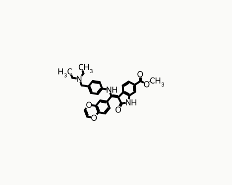 CCN(CC)Cc1ccc(NC(=C2C(=O)Nc3cc(C(=O)OC)ccc32)c2ccc3c(c2)OC=CO3)cc1